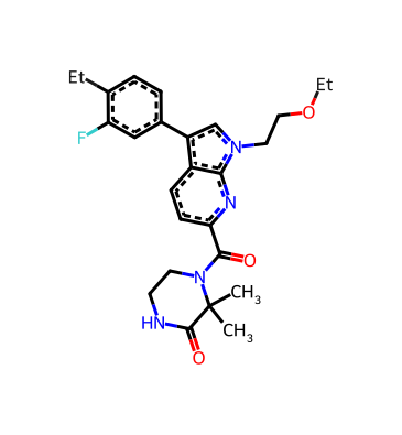 CCOCCn1cc(-c2ccc(CC)c(F)c2)c2ccc(C(=O)N3CCNC(=O)C3(C)C)nc21